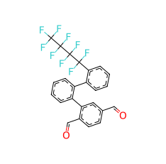 O=Cc1ccc(C=O)c(-c2ccccc2-c2ccccc2C(F)(F)C(F)(F)C(F)(F)C(F)(F)F)c1